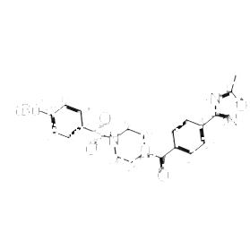 Cc1nc(-c2ccc(C(=O)N3CCN(S(=O)(=O)c4ccc(C(C)(C)C)cc4)CC3)cc2)no1